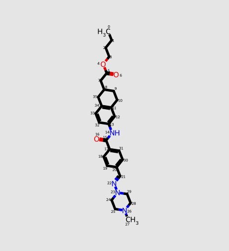 CCCCOC(=O)CC1CCc2cc(NC(=O)c3ccc(/C=N/N4CCN(C)CC4)cc3)ccc2C1